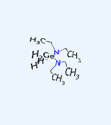 CC[N](CC)[GeH2][N](CC)CC.[H-].[H-]